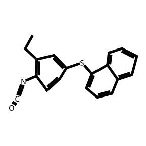 CCc1cc(Sc2cccc3ccccc23)ccc1N=C=O